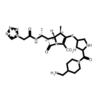 C[C@@H](NC(=O)Cn1cnnn1)[C@H]1C(=O)N2C(C(=O)O)=C(SC3CNC(C(=O)N4CCC(CN)CC4)C3)[C@H](C)[C@@H]12